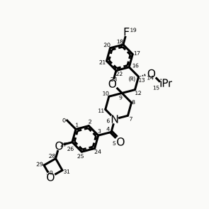 Cc1cc(C(=O)N2CCC3(CC2)C[C@@H](OC(C)C)c2cc(F)ccc2O3)ccc1OC1COC1